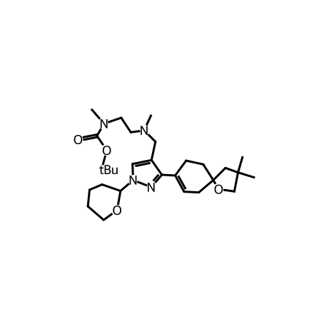 CN(CCN(C)C(=O)OC(C)(C)C)Cc1cn(C2CCCCO2)nc1C1=CCC2(CC1)CC(C)(C)CO2